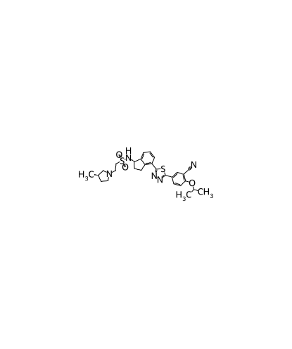 CC(C)Oc1ccc(-c2nnc(-c3cccc4c3CC[C@H]4NS(=O)(=O)CCN3CC[C@@H](C)C3)s2)cc1C#N